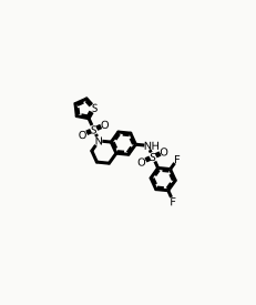 O=S(=O)(Nc1ccc2c(c1)CCCN2S(=O)(=O)c1cccs1)c1ccc(F)cc1F